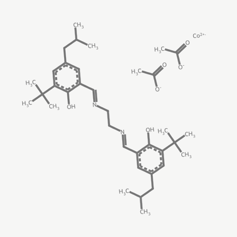 CC(=O)[O-].CC(=O)[O-].CC(C)Cc1cc(C=NCCN=Cc2cc(CC(C)C)cc(C(C)(C)C)c2O)c(O)c(C(C)(C)C)c1.[Co+2]